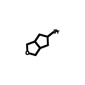 CC(C)C1CC2COCC2C1